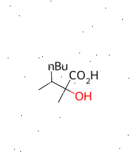 CCCCC(C)C(C)(O)C(=O)O